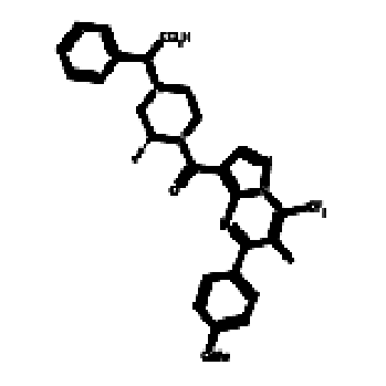 COc1ccc(-c2nc3c(C(=O)N4CCN(C(C(=O)O)c5ccccc5)C[C@H]4C)cnn3c(C(F)(F)F)c2C)cc1